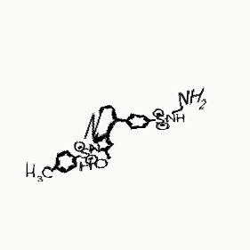 Cc1ccc(S(=O)(=O)n2c(CO)cc3c(-c4ccc(S(=O)(=O)NCCN)cc4)ccnc32)cc1